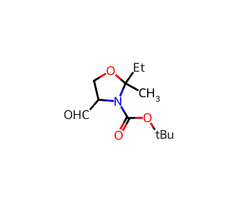 CCC1(C)OCC(C=O)N1C(=O)OC(C)(C)C